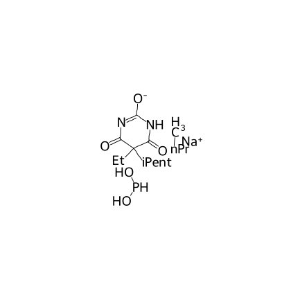 CCCC.CCCC(C)C1(CC)C(=O)N=C([O-])NC1=O.OPO.[Na+]